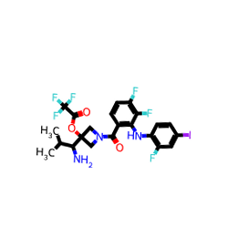 CC(C)C(N)C1(OC(=O)C(F)(F)F)CN(C(=O)c2ccc(F)c(F)c2Nc2ccc(I)cc2F)C1